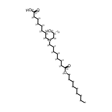 CCCCCCCCCOC(=O)CCCCCCCN(CCCCCCCC(=O)O)C[C@@H](C)O